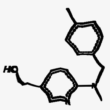 Cc1ccc(CN(C)c2ccc(CO)cn2)cc1